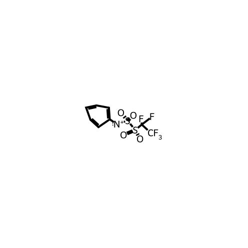 O=S(=O)([N+]c1ccccc1)S(=O)(=O)C(F)(F)C(F)(F)F